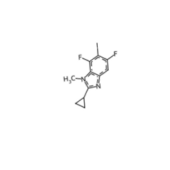 Cn1c(C2CC2)nc2cc(F)c(I)c(F)c21